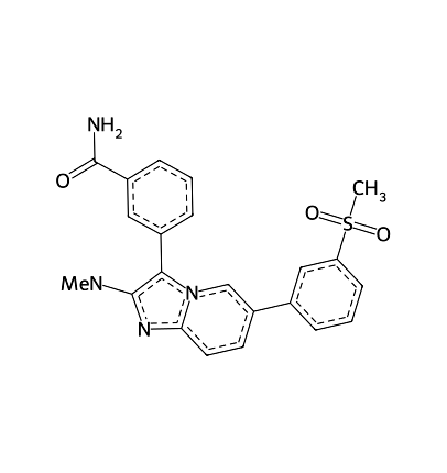 CNc1nc2ccc(-c3cccc(S(C)(=O)=O)c3)cn2c1-c1cccc(C(N)=O)c1